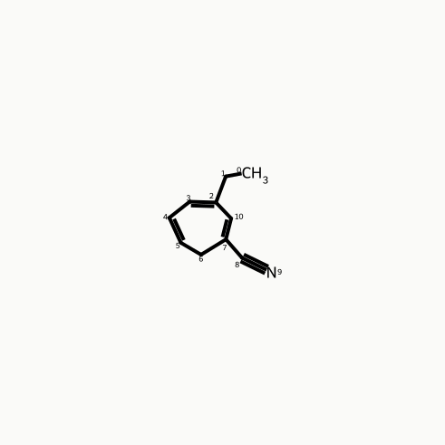 CCC1=CC=CCC(C#N)=C1